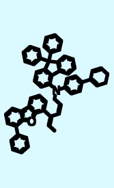 C/C=C(\C=C/CN(c1ccc(C2=CCCC=C2)cc1)c1cccc2c1-c1ccccc1C2(c1ccccc1)c1ccccc1)c1cccc2c1oc1c(-c3ccccc3)cccc12